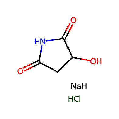 Cl.O=C1CC(O)C(=O)N1.[NaH]